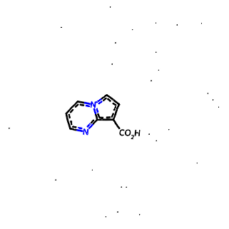 O=C(O)c1ccn2cccnc12